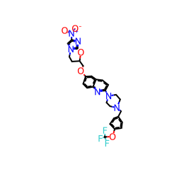 O=[N+]([O-])c1cn2c(n1)OC(COc1ccc3nc(N4CCN(Cc5ccc(OC(F)(F)F)cc5)CC4)ccc3c1)CC2